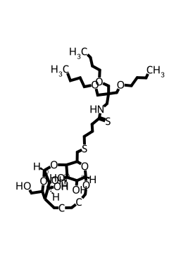 CCCCOCC(CNC(=S)CCCSCC1O[C@@H]2OCCCCCC3C(CO)O[C@H](OC1[C@H](O)C2O)C(O)[C@H]3O)(COCCCC)COCCCC